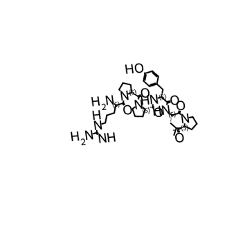 CC(C)C[C@H](NC(=O)[C@H](Cc1ccc(O)cc1)NC(=O)[C@@H]1CCCN1C(=O)[C@@H]1CCCN1C(=O)[C@@H](N)CCCNC(=N)N)C(=O)N1CCC[C@H]1[C]=O